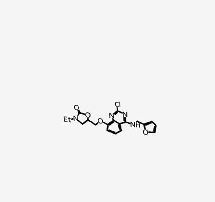 CCN1CC(COc2cccc3c(NCc4ccco4)nc(Cl)nc23)OC1=O